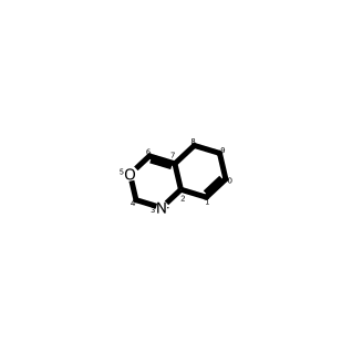 C1=CC2[N]COC=C2CC1